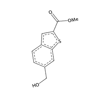 COC(=O)c1cc2ccc(CO)cc2s1